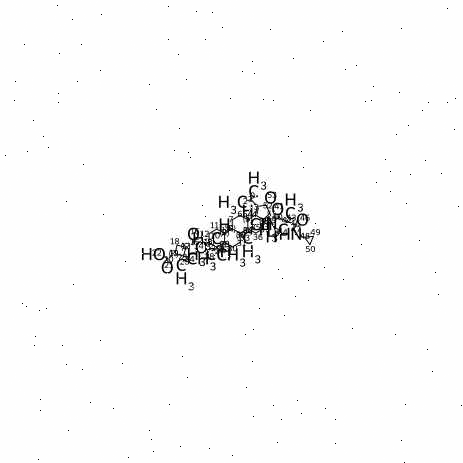 CC(C)C1=C2[C@H]3CC[C@@H]4[C@@]5(C)CC[C@H](OC(=O)[C@H]6C[C@@H](C(=O)O)C6(C)C)C(C)(C)[C@@H]5CC[C@@]4(C)[C@]3(C)CC[C@@]2(NC(=O)C(C)(C)C(=O)NC2CC2)CC1=O